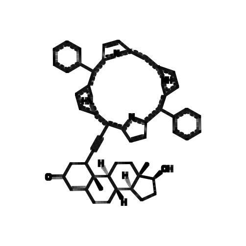 C[C@]12CC[C@H]3[C@@H](CCC4=CC(=O)CC(C#Cc5c6nc(c(-c7ccccc7)c7ccc(cc8nc(c(-c9ccccc9)c9ccc5[nH]9)C=C8)[nH]7)C=C6)[C@@]43C)[C@@H]1CC[C@@H]2O